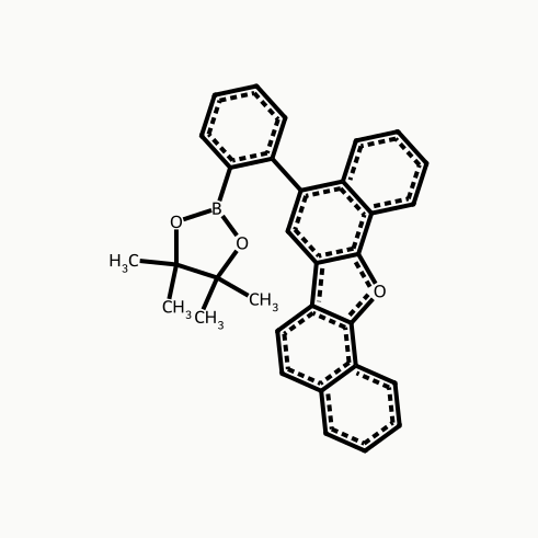 CC1(C)OB(c2ccccc2-c2cc3c4ccc5ccccc5c4oc3c3ccccc23)OC1(C)C